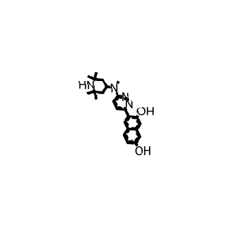 CN(c1ccc(-c2cc3ccc(O)cc3cc2O)nn1)C1CC(C)(C)NC(C)(C)C1